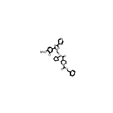 COc1ccc(-c2nc(-c3ccncc3)nn2CCN(C(=O)C2CCN(C(=O)OCc3ccccc3)CC2)C2CCCC2)cc1Cl